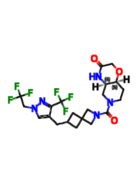 O=C1CO[C@H]2CCN(C(=O)N3CC4(CC(Cc5cn(CC(F)(F)F)nc5C(F)(F)F)C4)C3)C[C@H]2N1